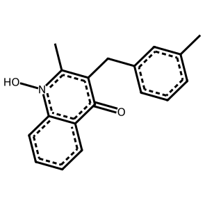 Cc1cccc(Cc2c(C)n(O)c3ccccc3c2=O)c1